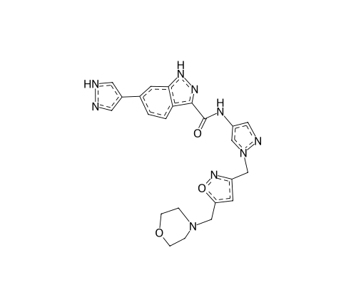 O=C(Nc1cnn(Cc2cc(CN3CCOCC3)on2)c1)c1n[nH]c2cc(-c3cn[nH]c3)ccc12